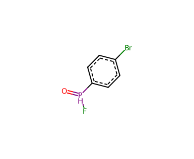 O=[PH](F)c1ccc(Br)cc1